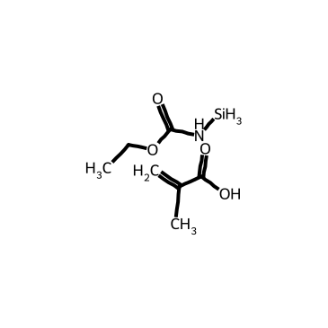 C=C(C)C(=O)O.CCOC(=O)N[SiH3]